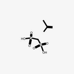 C=C(C)C.O=S(=O)(O)CS(=O)(=O)O